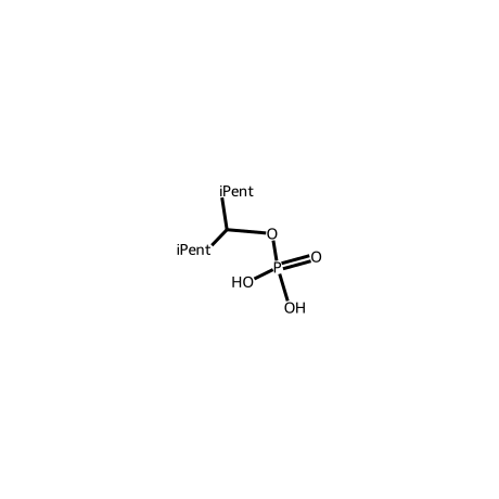 CCCC(C)C(OP(=O)(O)O)C(C)CCC